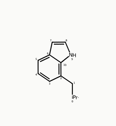 C[C](C)Cc1cccc2cc[nH]c12